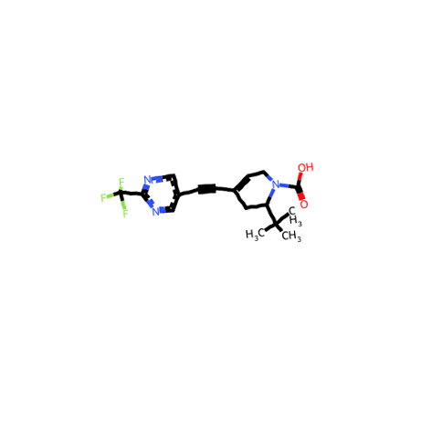 CC(C)(C)C1CC(C#Cc2cnc(C(F)(F)F)nc2)=CCN1C(=O)O